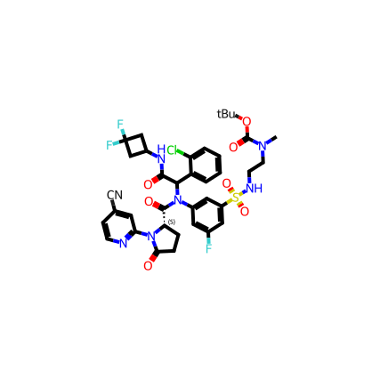 CN(CCNS(=O)(=O)c1cc(F)cc(N(C(=O)[C@@H]2CCC(=O)N2c2cc(C#N)ccn2)C(C(=O)NC2CC(F)(F)C2)c2ccccc2Cl)c1)C(=O)OC(C)(C)C